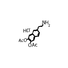 CC(=O)Oc1cc2ccc(CCN)cc2cc1OC(C)=O.Cl